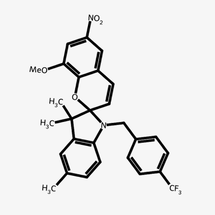 COc1cc([N+](=O)[O-])cc2c1OC1(C=C2)N(Cc2ccc(C(F)(F)F)cc2)c2ccc(C)cc2C1(C)C